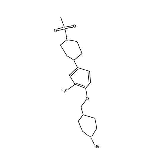 CC(C)(C)N1CCC(COc2ccc(C3CCN(S(C)(=O)=O)CC3)cc2C(F)(F)F)CC1